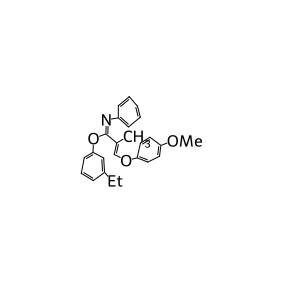 CCc1cccc(O/C(=N/c2ccccc2)C(C)=COc2ccc(OC)cc2)c1